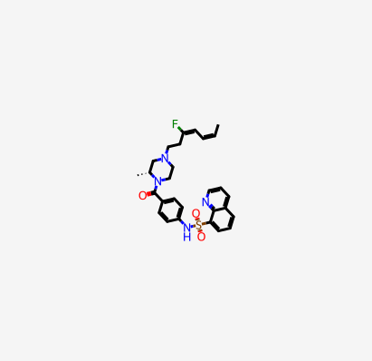 C/C=C\C=C(\F)CCN1CCN(C(=O)c2ccc(NS(=O)(=O)c3cccc4cccnc34)cc2)[C@H](C)C1